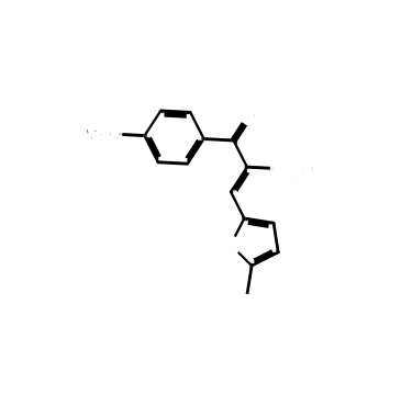 CCOC(=O)C(=Cc1ccc(C)o1)C(=O)c1ccc(OC)cc1